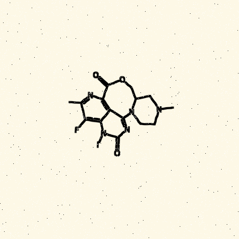 Cc1nc2c3c(nc(=O)n(I)c3c1F)N1CCN(C)CC1COC2=O